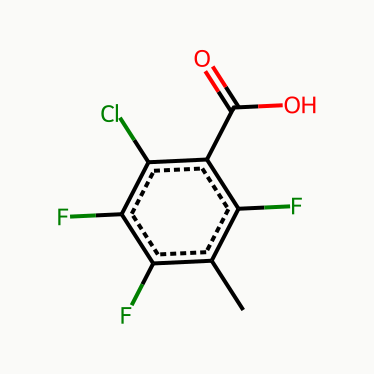 Cc1c(F)c(F)c(Cl)c(C(=O)O)c1F